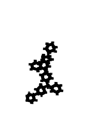 c1ccc(-c2ccc(N(c3ccccc3)c3ccc(-c4cc5nc(-c6ccccc6)oc5c5ccccc45)cc3)cc2)cc1